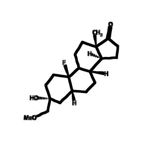 COC[C@@]1(O)CC[C@]2(F)C3CC[C@]4(C)C(=O)CC[C@H]4[C@@H]3CC[C@@H]2C1